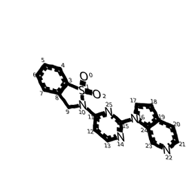 O=S1(=O)c2ccccc2CN1c1ccnc(-n2ccc3ccncc32)n1